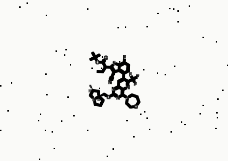 CCC(C(=O)OC(C)(C)C)c1sc2c(F)ccc(-c3cc4nc(OC[C@@]56CCCN5C[C@H](C)C6)nc(N5CCCOCC5)c4nc3C(F)(F)F)c2c1C#N